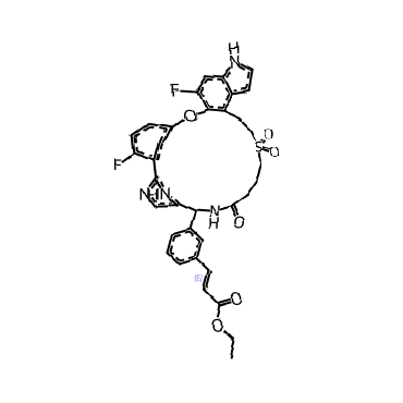 CCOC(=O)/C=C/c1cccc(C2NC(=O)CCCS(=O)(=O)CCc3c(c(F)cc4[nH]ccc34)Oc3ccc(F)c(c3)-c3ncc2[nH]3)c1